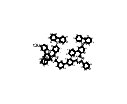 CC(C)(C)c1ccc2c(c1)c1cc(C(C)(C)C)ccc1n2-c1cc(-n2c3ccccc3c3ccccc32)ccc1-c1nc(-c2ccccc2)nc(-c2cccc(-c3ccc(-c4nc(-c5ccccc5)nc(-c5ccc(-n6c7ccccc7c7ccccc76)cc5-c5ccccc5)n4)cc3)c2)n1